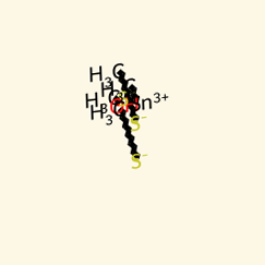 CC(O)[S-].CCCCCCCCCCCC[S-].CCCCCCCCCCCC[S-].CCC[CH2][Sn+3]